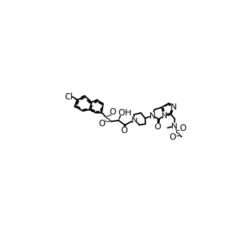 CN(Cc1ncc2n1C(=O)N(C1CCN(C(=O)[C@H](O)CS(=O)(=O)c3ccc4cc(Cl)ccc4c3)CC1)C2)S(C)(=O)=O